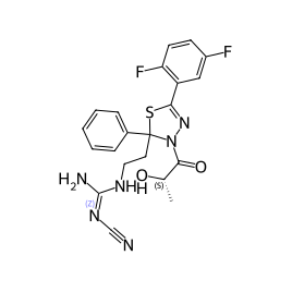 C[C@H](O)C(=O)N1N=C(c2cc(F)ccc2F)SC1(CCN/C(N)=N\C#N)c1ccccc1